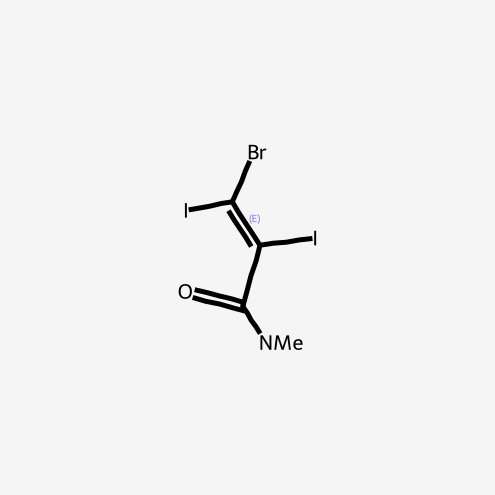 CNC(=O)/C(I)=C(/Br)I